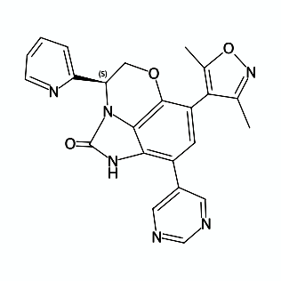 Cc1noc(C)c1-c1cc(-c2cncnc2)c2[nH]c(=O)n3c2c1OC[C@@H]3c1ccccn1